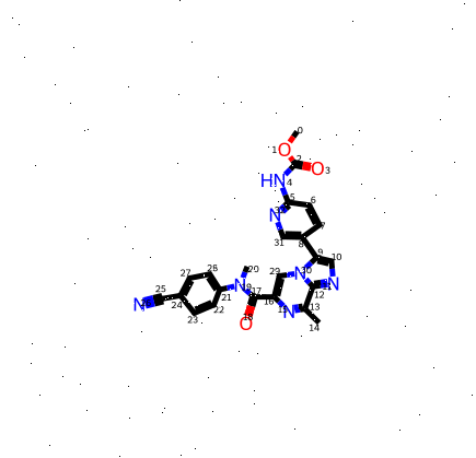 COC(=O)Nc1ccc(-c2cnc3c(C)nc(C(=O)N(C)c4ccc(C#N)cc4)cn23)cn1